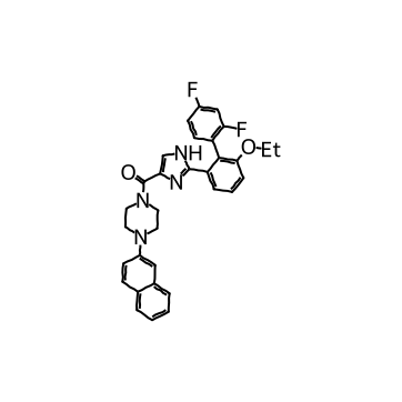 CCOc1cccc(-c2nc(C(=O)N3CCN(c4ccc5ccccc5c4)CC3)c[nH]2)c1-c1ccc(F)cc1F